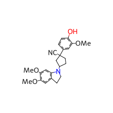 COc1cc(C2(C#N)CCC(N3CCc4cc(OC)c(OC)cc43)C2)ccc1O